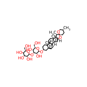 C[C@@H]1CC[C@@]2(OC1)O[C@H]1C[C@H]3[C@@H]4CC=C5C[C@@H](O[C@@H]6O[C@H](CO)[C@@H](O)[C@H](O[C@@H]7O[C@H](CO)[C@H](O)[C@H](O)[C@H]7O)[C@H]6O)CC[C@]5(C)[C@H]4CC[C@]3(C)[C@H]1[C@@H]2C